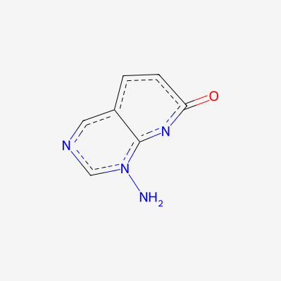 Nn1cncc2ccc(=O)nc1-2